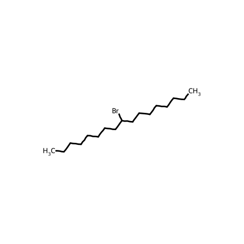 CCCCCCCCC(Br)CCCCCCCC